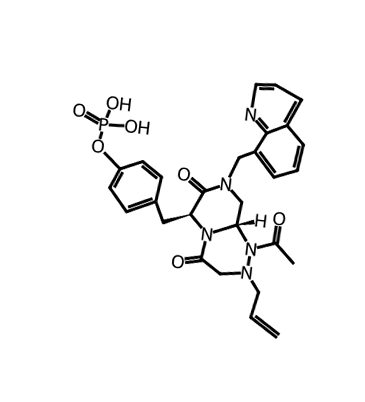 C=CCN1CC(=O)N2[C@@H](Cc3ccc(OP(=O)(O)O)cc3)C(=O)N(Cc3cccc4cccnc34)C[C@@H]2N1C(C)=O